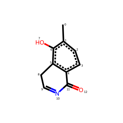 Cc1ccc2c(c1O)CC=NC2=O